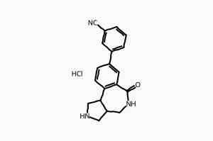 Cl.N#Cc1cccc(-c2ccc3c(c2)C(=O)NCC2CNCC32)c1